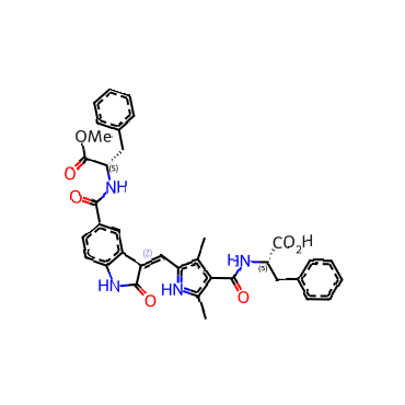 COC(=O)[C@H](Cc1ccccc1)NC(=O)c1ccc2c(c1)/C(=C/c1[nH]c(C)c(C(=O)N[C@@H](Cc3ccccc3)C(=O)O)c1C)C(=O)N2